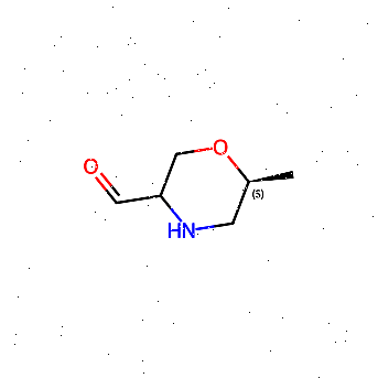 C[C@H]1CNC(C=O)CO1